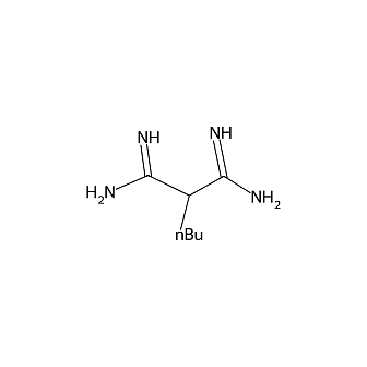 CCCCC(C(=N)N)C(=N)N